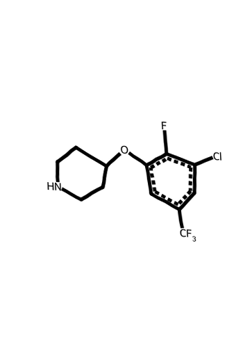 Fc1c(Cl)cc(C(F)(F)F)cc1OC1CCNCC1